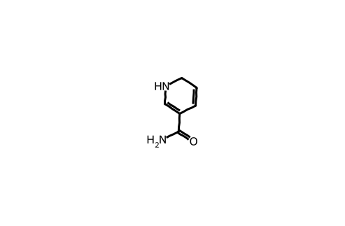 NC(=O)C1=CNCC=C1